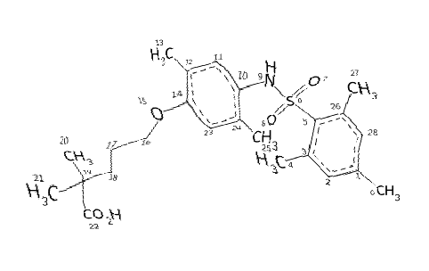 Cc1cc(C)c(S(=O)(=O)Nc2cc(C)c(OCCCC(C)(C)C(=O)O)cc2C)c(C)c1